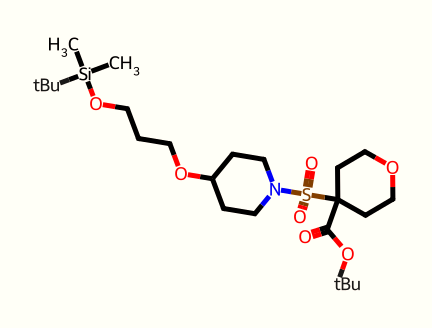 CC(C)(C)OC(=O)C1(S(=O)(=O)N2CCC(OCCCO[Si](C)(C)C(C)(C)C)CC2)CCOCC1